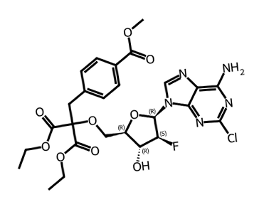 CCOC(=O)C(Cc1ccc(C(=O)OC)cc1)(OC[C@H]1O[C@@H](n2cnc3c(N)nc(Cl)nc32)[C@@H](F)[C@@H]1O)C(=O)OCC